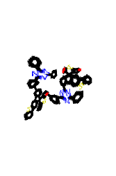 c1ccc(-c2nc(-c3ccccc3)nc(-c3cccc(-c4ccc5c(c4)-c4cc6sc7ccccc7c6cc4C54c5ccccc5Sc5c(-c6cccc(-c7nc(-c8ccccc8)nc(-c8cccc9c8-c8cc%10sc%11ccccc%11c%10cc8C98c9ccccc9Sc9ccccc98)n7)c6)cccc54)c3)n2)cc1